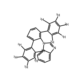 [2H]c1c([2H])c([2H])c(-c2cccc(-c3c([2H])c([2H])c([2H])c([2H])c3[2H])c2-n2cnc3ccccc32)c([2H])c1[2H]